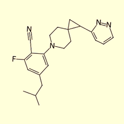 CC(C)Cc1cc(F)c(C#N)c(N2CCC3(CC2)CC3c2cccnn2)c1